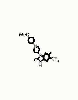 CO[C@H]1CC[C@H](N2CCC(n3c(=O)[nH]c4cc(C(F)(F)F)c(C)cc43)CC2)CC1